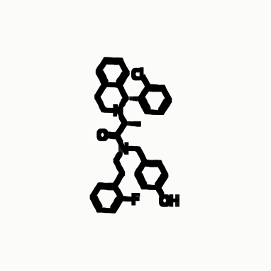 C[C@@H](C(=O)N(CCc1ccccc1F)Cc1ccc(O)cc1)N1CCc2ccccc2[C@@H]1c1ccccc1Cl